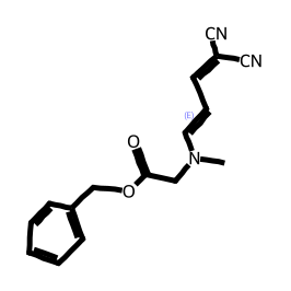 CN(/C=C/C=C(C#N)C#N)CC(=O)OCc1ccccc1